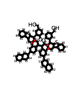 OCc1ccc(Oc2ccc3cc(-c4ccc5ccccc5c4)ccc3c2-c2c(Oc3ccc(CO)cc3-c3cccc4c3sc3ccccc34)ccc3cc(-c4ccc5ccccc5c4)ccc23)c(-c2cccc3c2sc2ccccc23)c1